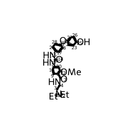 CCN(CC)CCNC(=O)c1ccc(NC(=O)Nc2ccc(Oc3ccc(O)cc3)cc2)cc1OC